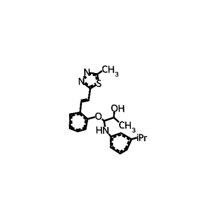 Cc1nnc(C=Cc2ccccc2OC(Nc2cccc(C(C)C)c2)C(C)O)s1